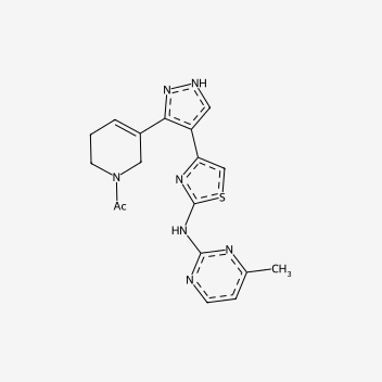 CC(=O)N1CCC=C(c2n[nH]cc2-c2csc(Nc3nccc(C)n3)n2)C1